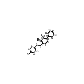 CC1CCC(CCc2ccc(-c3ccccc3)c(Cl)c2F)CC1